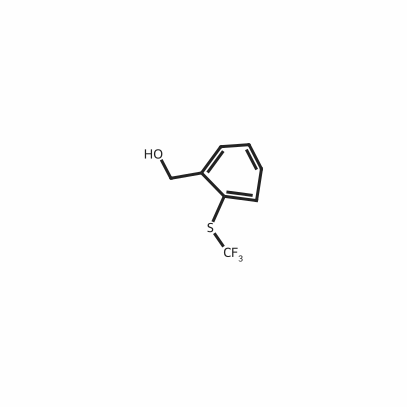 OCc1ccccc1SC(F)(F)F